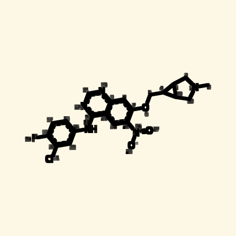 CN1CC2C(COc3cc4ncnc(Nc5ccc(F)c(Cl)c5)c4cc3[N+](=O)[O-])C2C1